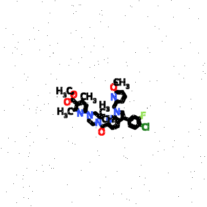 COC(=O)c1c(C)cc(N2CCN(C(=O)c3ccc4c(-c5ccc(Cl)c(F)c5)cn(Cc5cccc(OC)n5)c4n3)C(C)(C)C2)nc1C